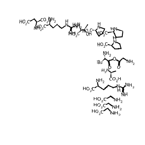 CC[C@H](C)[C@H](N)C(=O)OC(=O)CN.C[C@@H](O)[C@H](N)C(=O)O.C[C@H](N)C(=O)O.N=C(N)NCCC[C@H](N)C(=O)O.N=C(N)NCCC[C@H](N)C(=O)O.NCC(=O)O.NCC(=O)O.NCC(=O)O.N[C@@H](CC(=O)O)C(=O)O.O=C(O)[C@@H]1CCCN1.O=C(O)[C@@H]1CCCN1.O=C(O)[C@@H]1CCCN1